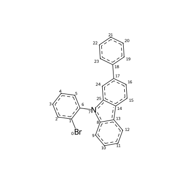 Brc1ccccc1-n1c2ccccc2c2ccc(-c3ccccc3)cc21